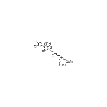 CCCc1c(CCC(=O)/C=C/CN(CCCOC)CCCOC)sc2ncnc(Nc3ccc(F)c(Cl)c3)c12